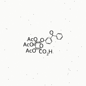 CC(=O)O[C@@H]1[C@@H](OC(C)=O)[C@H](Oc2cccc(C(=O)c3ccccc3)c2)O[C@H](C(=O)O)[C@H]1OC(C)=O